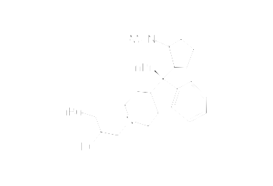 CCC[C@@](c1ccccc1)(C1CCN(CC(CC)CC(C)CC)CC1)C1CCCC1NC